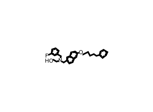 OCCN(Cc1cccc(F)c1)Cc1ccc2cc(OCCCCCc3ccccc3)ccc2c1